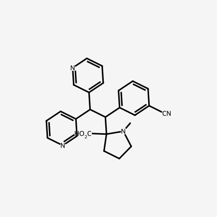 CN1CCCC1(C(=O)O)C(c1cccc(C#N)c1)C(c1cccnc1)c1cccnc1